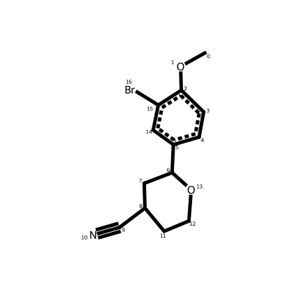 COc1ccc(C2CC(C#N)CCO2)cc1Br